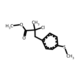 COC(=O)C(C)(Cl)Cc1ccc(SC)cc1